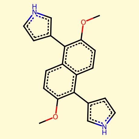 COc1ccc2c(-c3cc[nH]c3)c(OC)ccc2c1-c1cc[nH]c1